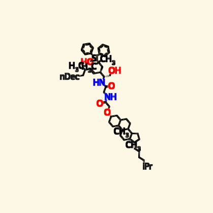 CCCCCCCCCCCC(C)/C=C/[C@@H](CC(C)(C)[Si](O)(c1ccccc1)c1ccccc1)[C@H](CO)NC(=O)CNC(=O)CO[C@H]1CC[C@@]2(C)C(CCC3C2CC[C@@]2(C)C3CC[C@@H]2CCCCC(C)C)C1